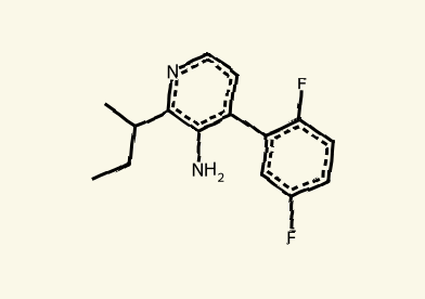 CCC(C)c1nccc(-c2cc(F)ccc2F)c1N